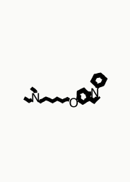 CCN(CC)CCCCCCOc1ccc2c(ccn2-c2ccccc2)c1